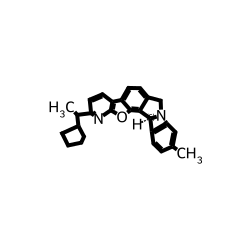 Cc1ccc2c(c1)N1Cc3ccc4c(oc5nc(C(C)C6CCCC6)ccc54)c3[C@H]21